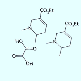 CCOC(=O)C1=CCC(C)N(C)C1.CCOC(=O)C1=CCC(C)N(C)C1.O=C(O)C(=O)O